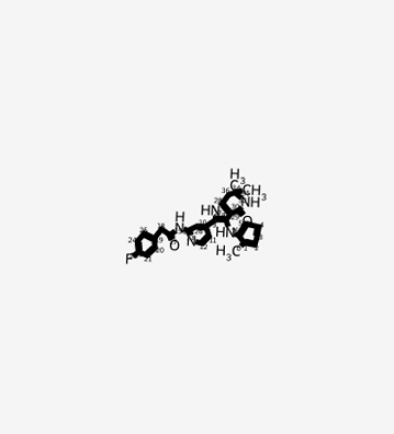 Cc1ccccc1Nc1c(-c2ccnc(NC(=O)Cc3ccc(F)cc3)c2)[nH]c2c1C(=O)NC(C)(C)C2